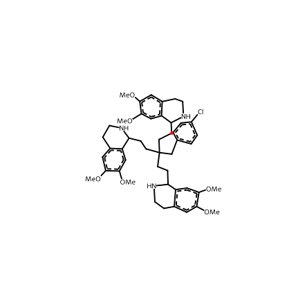 COc1cc2c(cc1OC)C(CCC(CCC1NCCc3cc(OC)c(OC)cc31)(CCC1NCCc3cc(OC)c(OC)cc31)Cc1ccc(Cl)cc1)NCC2